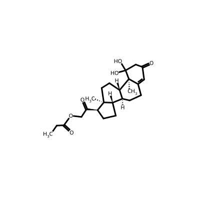 CCC(=O)OCC(=O)[C@@H]1CC[C@H]2[C@@H]3CCC4=CC(=O)CC(O)(O)[C@]4(C)[C@H]3CC[C@]12C